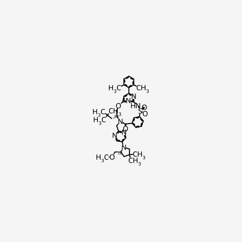 COC[C@@H]1CC(C)(C)CN1c1cnc(CN2C(=O)c3cccc(c3)S(=O)(=O)Nc3nc(cc(-c4c(C)cccc4C)n3)OC[C@H]2CC(C)(C)C)nc1